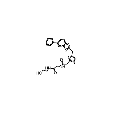 O=C(CNC(=O)Cc1nnc(Cc2nc3ccc(-c4ccccc4)cc3s2)o1)NCCO